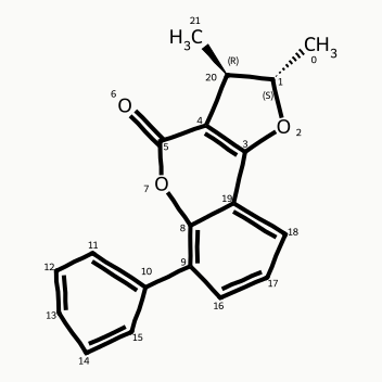 C[C@@H]1Oc2c(c(=O)oc3c(-c4ccccc4)cccc23)[C@H]1C